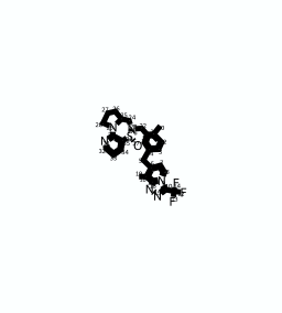 Cc1ccc(Cc2ccn3c(C(F)(F)F)nnc3c2C)cc1CN1CC2CCCN2c2ncccc2[S+]1[O-]